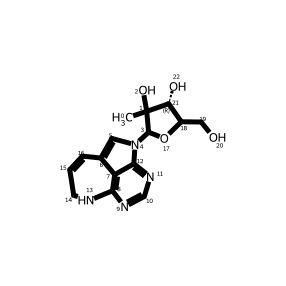 CC1(O)C(n2cc3c4c(ncnc42)NCC=C3)OC(CO)[C@H]1O